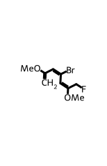 C=C(/C=C(Br)\C=C(/CF)OC)OC